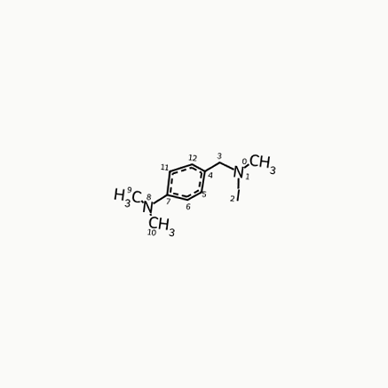 CN(I)Cc1ccc(N(C)C)cc1